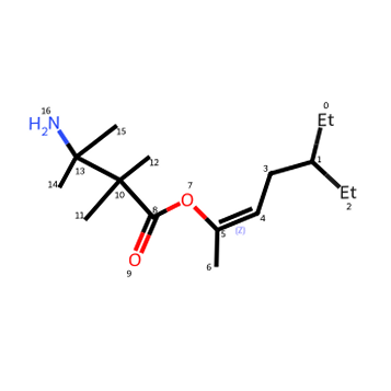 CCC(CC)C/C=C(/C)OC(=O)C(C)(C)C(C)(C)N